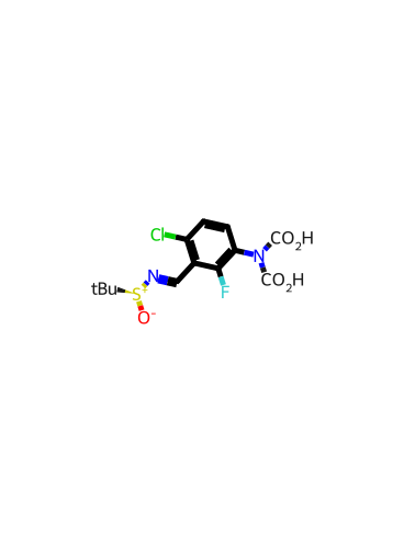 CC(C)(C)[S@+]([O-])N=Cc1c(Cl)ccc(N(C(=O)O)C(=O)O)c1F